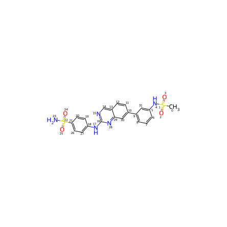 CS(=O)(=O)Nc1cccc(-c2ccc3cnc(Nc4ccc(S(N)(=O)=O)cc4)nc3c2)c1